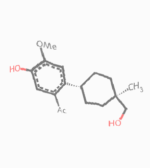 COc1cc([C@H]2CC[C@](C)(CO)CC2)c(C(C)=O)cc1O